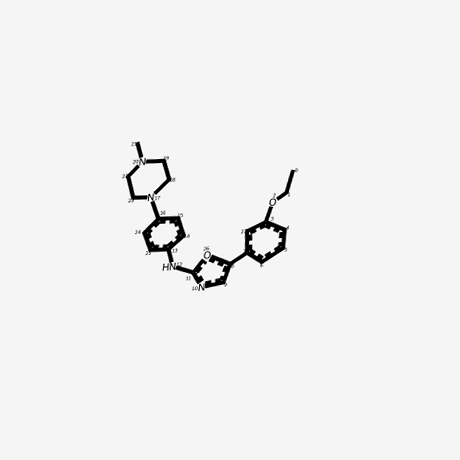 CCOc1cccc(-c2cnc(Nc3ccc(N4CCN(C)CC4)cc3)o2)c1